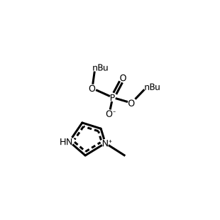 CCCCOP(=O)([O-])OCCCC.C[n+]1cc[nH]c1